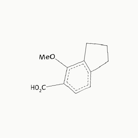 COc1c(C(=O)O)ccc2c1CCC2